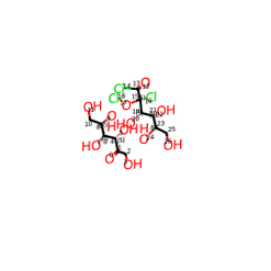 O=C(CO)[C@@H](O)[C@H](O)[C@H](O)CO.O=C(Cl)[C@](Cl)(OCl)[C@@H](O)[C@H](O)[C@H](O)CO